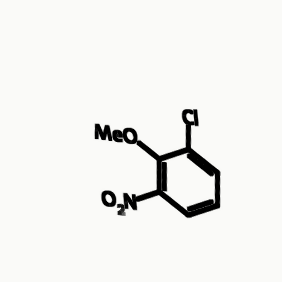 COc1c(Cl)cccc1[N+](=O)[O-]